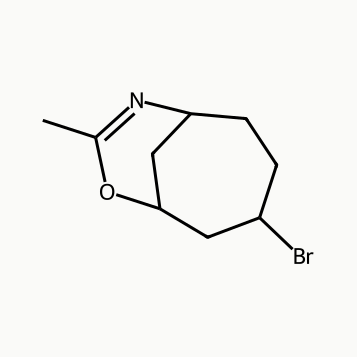 CC1=NC2CCC(Br)CC(C2)O1